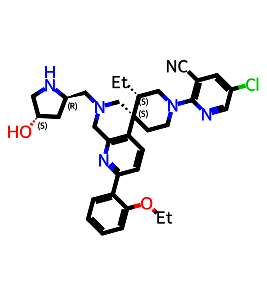 CCOc1ccccc1-c1ccc2c(n1)CN(C[C@H]1C[C@H](O)CN1)C[C@]21CCN(c2ncc(Cl)cc2C#N)C[C@H]1CC